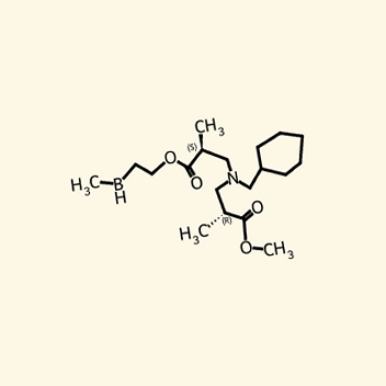 CBCCOC(=O)[C@@H](C)CN(CC1CCCCC1)C[C@@H](C)C(=O)OC